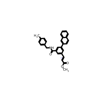 COC(=O)/C=C/c1cc(C(=O)NCc2ccc(C)cc2)cc(-c2ccc3ccccc3c2)c1